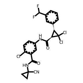 N#CC1(NC(=O)c2cc(NC(=O)[C@H]3[C@H](c4cccc(C(F)F)c4)C3(Cl)Cl)ccc2Cl)CC1